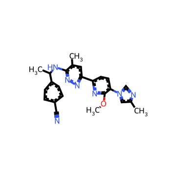 COc1nc(-c2cc(C)c(NC(C)c3ccc(C#N)cc3)nn2)ccc1-n1cnc(C)c1